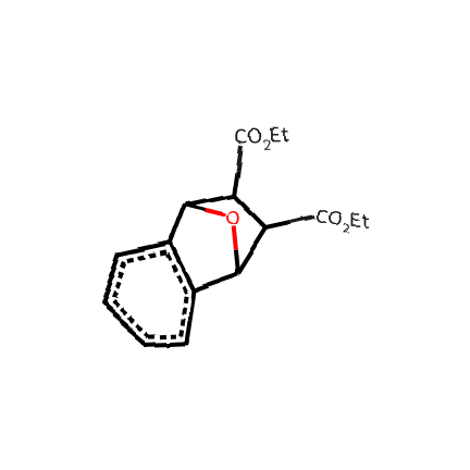 CCOC(=O)C1C2OC(c3ccccc32)C1C(=O)OCC